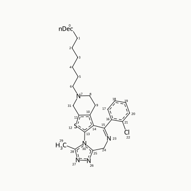 CCCCCCCCCCCCCCCCN1CCc2c(sc3c2C(c2ccccc2Cl)=NCc2nnc(C)n2-3)C1